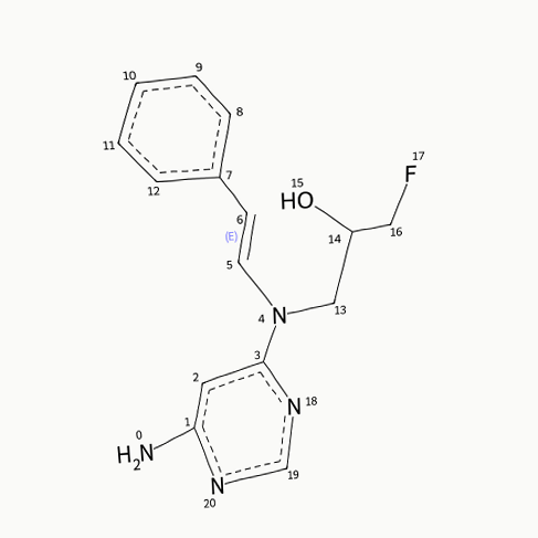 Nc1cc(N(/C=C/c2ccccc2)CC(O)CF)ncn1